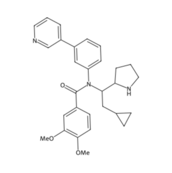 COc1ccc(C(=O)N(c2cccc(-c3cccnc3)c2)C(CC2CC2)C2CCCN2)cc1OC